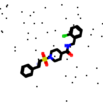 O=C(NCc1ccccc1Cl)C1CCN(S(=O)(=O)/C=C/c2ccccc2)CC1